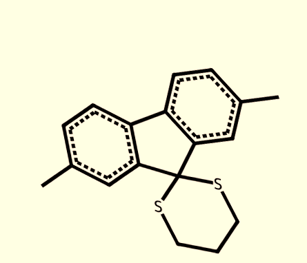 Cc1ccc2c(c1)C1(SCCCS1)c1cc(C)ccc1-2